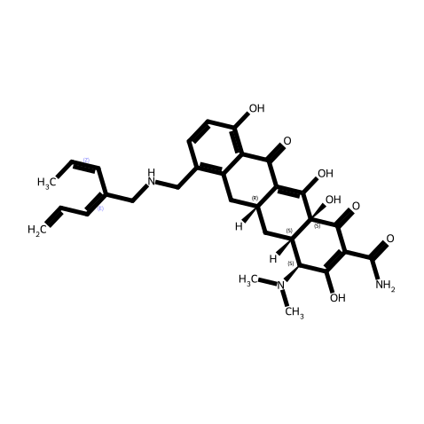 C=C/C=C(\C=C/C)CNCc1ccc(O)c2c1C[C@H]1C[C@H]3[C@H](N(C)C)C(O)=C(C(N)=O)C(=O)[C@@]3(O)C(O)=C1C2=O